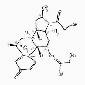 CCC(=O)O.C[C@@H]1C[C@H]2[C@@H]3C[C@H](F)C4=CC(=O)C=C[C@]4(C)[C@H]3[C@@H](O)C[C@]2(C)[C@H]1C(=O)CO